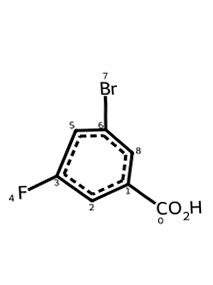 O=C(O)c1cc(F)cc(Br)c1